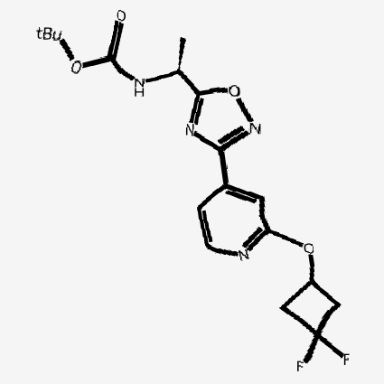 C[C@H](NC(=O)OC(C)(C)C)c1nc(-c2ccnc(OC3CC(F)(F)C3)c2)no1